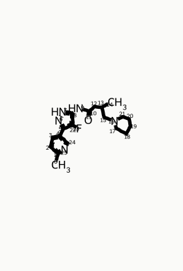 Cc1ccc(-c2n[nH]c(NC(=O)CC(C)CN3CCCCC3)c2F)cn1